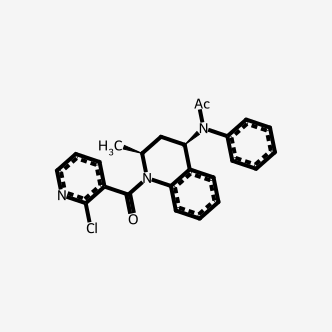 CC(=O)N(c1ccccc1)[C@@H]1C[C@H](C)N(C(=O)c2cccnc2Cl)c2ccccc21